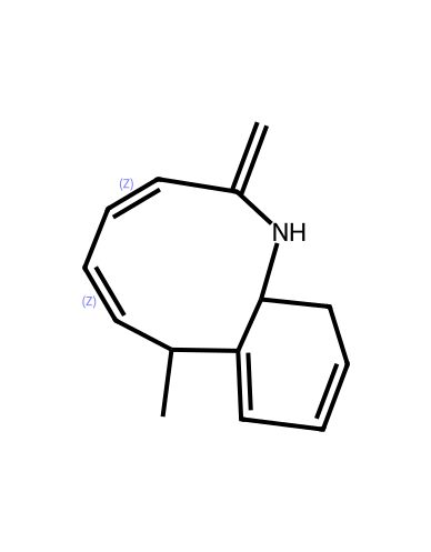 C=C1/C=C\C=C/C(C)C2=CC=CCC2N1